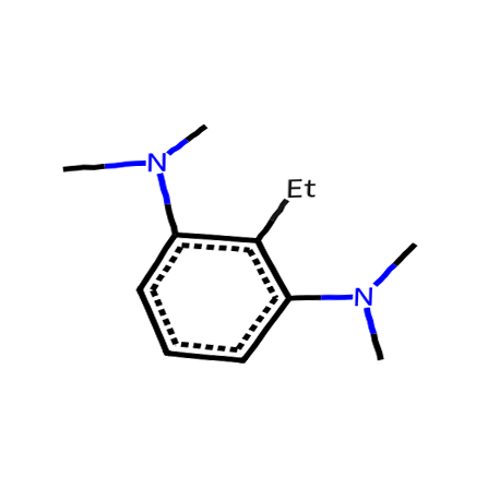 CCc1c(N(C)C)cccc1N(C)C